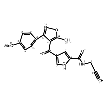 C#CCNC(=O)c1cc(C(=O)c2c(-c3ccc(OC)cc3)noc2C)c[nH]1